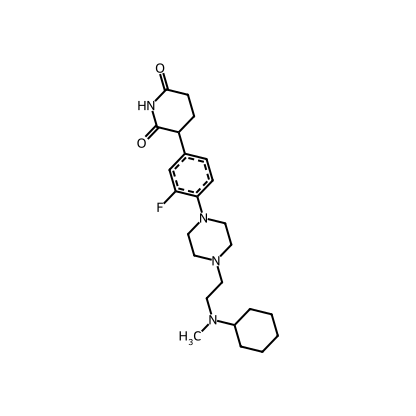 CN(CCN1CCN(c2ccc(C3CCC(=O)NC3=O)cc2F)CC1)C1CCCCC1